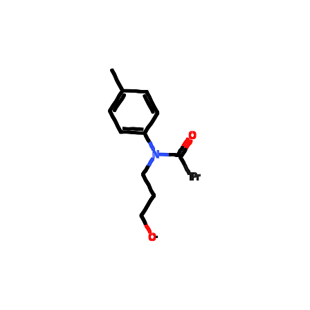 Cc1ccc(N(CCC[O])C(=O)C(C)C)cc1